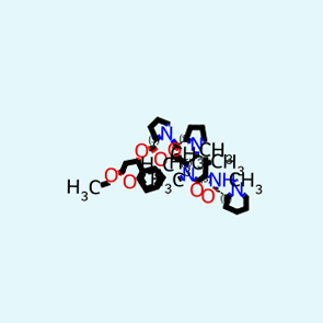 CCOC(=O)CC(OC(=O)[C@@H]1CCCN1C(=O)[C@@H]1CCCN1C[C@H](C(C)C)N(C)C(=O)[C@@H](NC(=O)[C@H]1CCCCN1C)C(C)(C)C)c1ccccc1